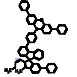 CC/C=C\C1=C(C)c2ccc(-c3ccccc3)cc2C12c1ccccc1-c1c(-c3ccc(N4c5ccc(-c6ccccc6)cc5Oc5cc(-c6ccccc6)ccc54)cc3)cccc12